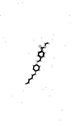 CCCCCC[C@H]1CC[C@H](CCc2ccc(C(=O)OCC)cc2)CC1